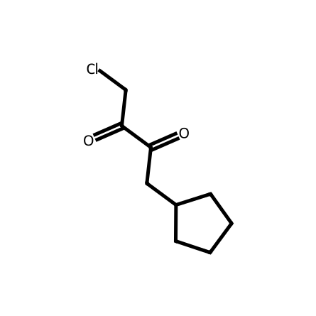 O=C(CCl)C(=O)CC1CCCC1